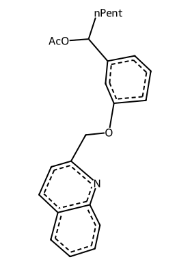 CCCCCC(OC(C)=O)c1cccc(OCc2ccc3ccccc3n2)c1